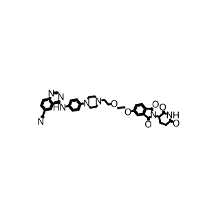 N#Cc1ccc2ncnc(Nc3ccc(N4CCN(CCOCCOc5ccc6c(c5)C(=O)N(C5CCC(=O)NC5=O)C6=O)CC4)cc3)c2c1